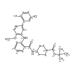 COc1cnc(-c2cc(Cl)ccc2F)nc1Nc1ccncc1C(=O)NC1CCN(C(=O)OC(C)(C)C)CC1